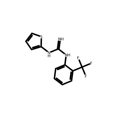 N=C(Nc1cccs1)Nc1ccccc1C(F)(F)F